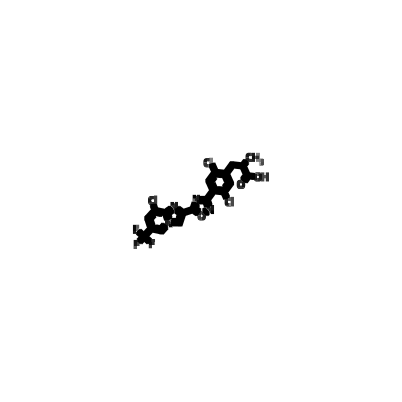 CC(Cc1cc(Cl)c(-c2noc(-c3cn4cc(C(F)(F)F)cc(Cl)c4n3)n2)cc1Cl)C(=O)O